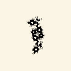 Cc1ccc(N(CCc2ccc(F)[c]([Ti]([C]3=CC=CC3)([C]3=CC=CC3)[c]3c(F)ccc(CCN(c4ccc(C)cc4)C(C)C)c3F)c2F)C(C)C)cc1